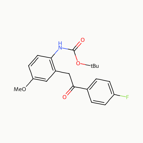 COc1ccc(NC(=O)OC(C)(C)C)c(CC(=O)c2ccc(F)cc2)c1